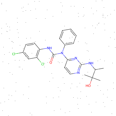 CC(Nc1nccc(N(C(=O)Nc2ccc(Cl)cc2Cl)c2ccccc2)n1)C(C)(C)O